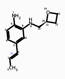 C/C=C/c1ccc(N)c(NC[C@@H]2CCO2)c1